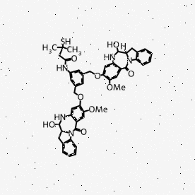 COc1cc2c(cc1OCc1cc(COc3cc4c(cc3OC)C(=O)N3c5ccccc5C[C@H]3C(O)N4)cc(NC(=O)CC(C)(C)S)c1)N[C@H](O)C1Cc3ccccc3N1C2=O